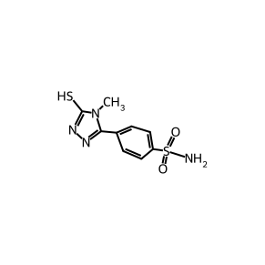 Cn1c(S)nnc1-c1ccc(S(N)(=O)=O)cc1